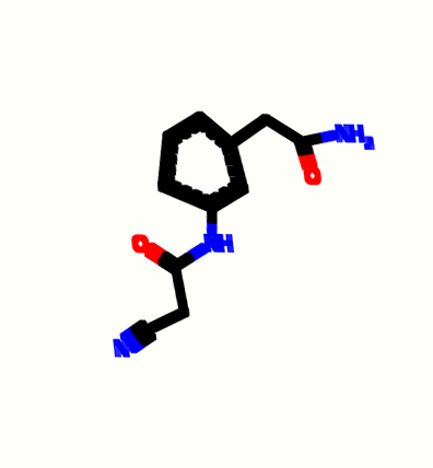 N#CCC(=O)Nc1cccc(CC(N)=O)c1